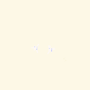 c1ccc(-c2cc(-c3ccccc3)cc(N3c4ccccc4-n4c5c3cccc5c3ccc5c6ccccc6sc5c34)c2)cc1